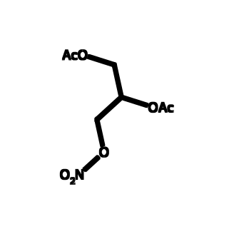 CC(=O)OCC(CO[N+](=O)[O-])OC(C)=O